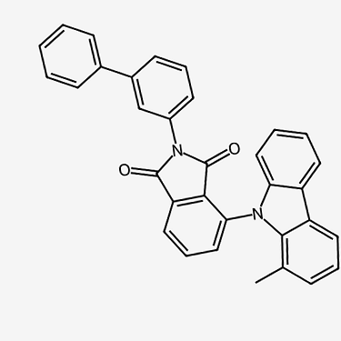 Cc1cccc2c3ccccc3n(-c3cccc4c3C(=O)N(c3cccc(-c5ccccc5)c3)C4=O)c12